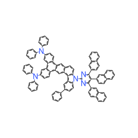 c1ccc(-c2ccc3c(c2)c2c4cc5c6ccc(N(c7ccccc7)c7ccccc7)cc6c6cc(N(c7ccccc7)c7ccccc7)ccc6c5cc4ccc2n3-c2nc(-c3ccc4ccccc4c3)c(-c3ccc4ccccc4c3)c(-c3ccc4ccccc4c3)n2)cc1